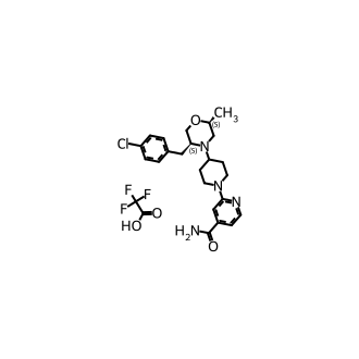 C[C@H]1CN(C2CCN(c3cc(C(N)=O)ccn3)CC2)[C@@H](Cc2ccc(Cl)cc2)CO1.O=C(O)C(F)(F)F